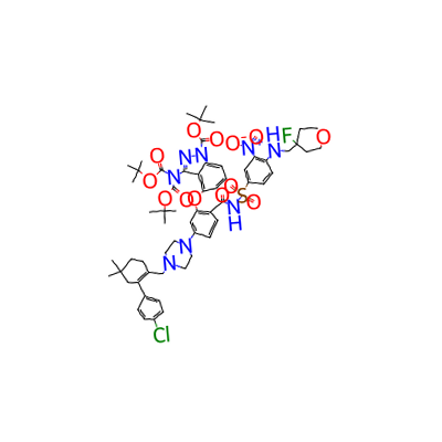 CC1(C)CCC(CN2CCN(c3ccc(C(=O)NS(=O)(=O)c4ccc(NCC5(F)CCOCC5)c([N+](=O)[O-])c4)c(Oc4cccc5c4c(N(C(=O)OC(C)(C)C)C(=O)OC(C)(C)C)nn5C(=O)OC(C)(C)C)c3)CC2)=C(c2ccc(Cl)cc2)C1